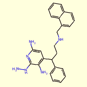 NNc1nc(N)cc(C(CCNCc2cccc3ccccc23)c2ccccc2)c1N